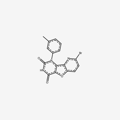 Cc1cccc(-n2c(=O)[nH]c(=O)c3oc4ccc(Br)nc4c32)c1